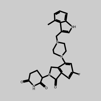 Cc1cccc2[nH]cc(CN3CCN(c4cc(F)cc5c4CN(C4CCC(=O)NC4=O)C5=O)CC3)c12